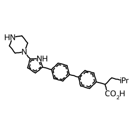 CC(C)CC(C(=O)O)c1ccc(-c2ccc(-c3ccc(N4CCNCC4)[nH]3)cc2)cc1